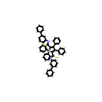 c1ccc(C2=C(c3nc4cc(-c5ccccc5)ccc4s3)[Si](c3ccccc3)(c3ccccc3)C(c3nc4cc(-c5ccccc5)ccc4s3)=C2c2ccccc2)cc1